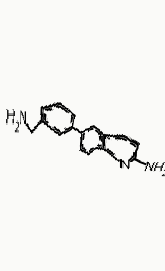 NCc1cccc(-c2ccc3nc(N)ccc3c2)c1